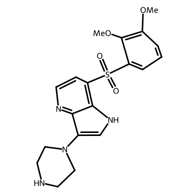 COc1cccc(S(=O)(=O)c2ccnc3c(N4CCNCC4)c[nH]c23)c1OC